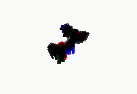 CON(C(=O)Nc1ccc([N+](CCC2CC[N]CC2)(Cc2ccccc2)C(C)=O)cc1)c1ccccc1Cl